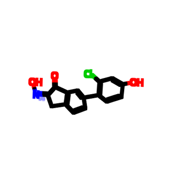 O=C1/C(=N\O)Cc2ccc(-c3ccc(O)cc3Cl)cc21